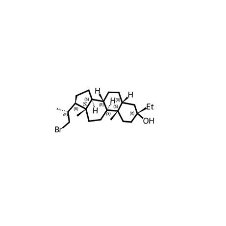 CC[C@@]1(O)CC[C@@]2(C)[C@H](CC[C@@H]3[C@@H]2CC[C@]2(C)[C@@H]([C@@H](C)CBr)CC[C@@H]32)C1